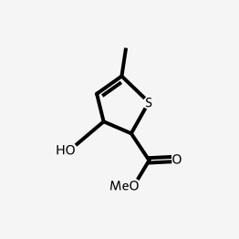 COC(=O)C1SC(C)=CC1O